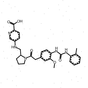 COc1cc(CC(=O)N2CCCC2CNc2ccc(C(=O)O)nc2)ccc1NC(=O)Nc1ccccc1C